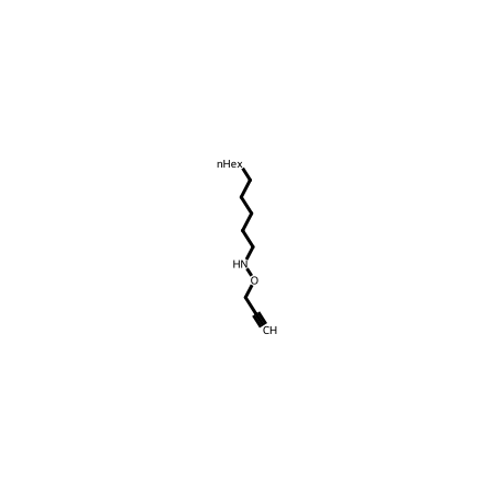 C#CCONCCCCCCCCCCC